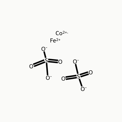 O=S(=O)([O-])[O-].O=S(=O)([O-])[O-].[Co+2].[Fe+2]